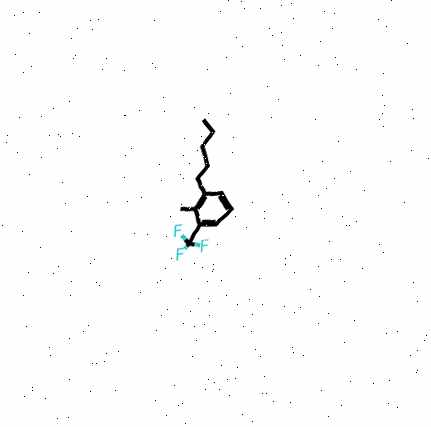 CCCCCc1cccc(C(F)(F)F)c1C